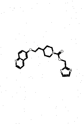 O=C(OCc1nccs1)N1CCC(CCOc2ccc3ncccc3c2)CC1